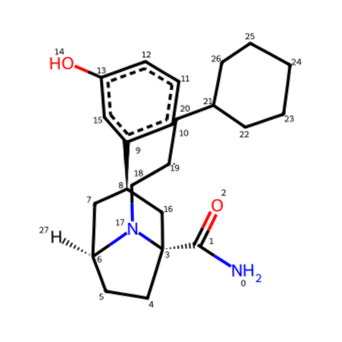 NC(=O)[C@@]12CC[C@@H](C[C@@H](c3cccc(O)c3)C1)N2C[CH]CC1CCCCC1